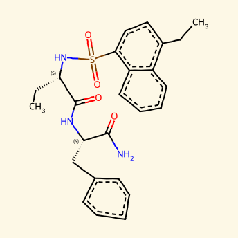 CCc1ccc(S(=O)(=O)N[C@@H](CC)C(=O)N[C@@H](Cc2ccccc2)C(N)=O)c2ccccc12